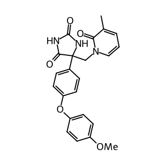 COc1ccc(Oc2ccc(C3(Cn4cccc(C)c4=O)NC(=O)NC3=O)cc2)cc1